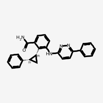 NC(=O)c1cccc(Nc2ccc(-c3ccccc3)nn2)c1[C@@H]1C[C@@H]1c1ccccc1